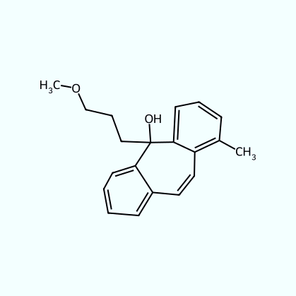 COCCCC1(O)c2ccccc2C=Cc2c(C)cccc21